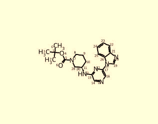 CC(C)(C)OC(=O)N1CCC[C@@H](Nc2cncc(-n3cnc4ccccc43)n2)C1